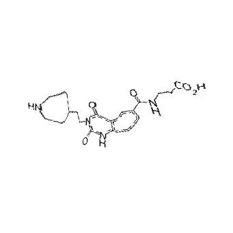 O=C(O)CCNC(=O)c1ccc2[nH]c(=O)n(CCC3CCNCC3)c(=O)c2c1